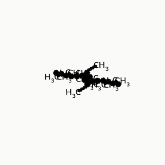 CCCCCCCc1ccc(N(c2ccc(-c3c(C)cc(-c4ccc5c(c4)C(C)(C)c4cc(-c6ccc7c(c6)C(C)(C)c6ccccc6-7)ccc4-5)cc3C)cc2)c2c3ccccc3c(N(c3ccc(CCCCCCC)cc3)c3ccc(-c4c(C)cc(-c5ccc6c(c5)C(C)(C)c5cc(-c7ccc8c(c7)C(C)(C)c7ccccc7-8)ccc5-6)cc4C)cc3)c3ccccc23)cc1